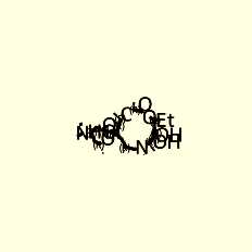 CC[C@H]1OC(=O)[C@H](C)C[C@H](C)[C@@H](O[C@H]2C[C@@H](N(C)C)C[C@@H](C)O2)[C@](C)(O)C[C@@H](C)CN(C)[C@H](C)[C@@H](O)[C@]1(C)O